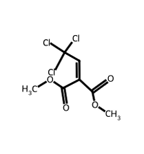 COC(=O)C(=CC(Cl)(Cl)Cl)C(=O)OC